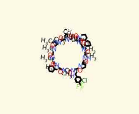 CC[C@H](C)[C@@H]1NC(=O)[C@H](CC(C)C)N(C)C(=O)C[C@@H](C(=O)N2CCCCC2)N(C)C(=O)[C@H](C2CCCCC2)N(C)C(=O)[C@@H](C)NC(=O)[C@@H]2CCCN2C(=O)[C@H](CCc2ccc(C(F)(F)F)c(Cl)c2)NC(=O)CN(C)C(=O)[C@H](CC2CCCCC2)N(C)C(=O)CN(C)C(=O)CN(C)C1=O